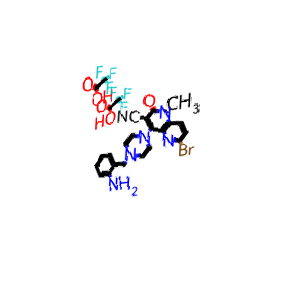 Cn1c(=O)c(C#N)c(N2CCN(Cc3ccccc3N)CC2)c2nc(Br)ccc21.O=C(O)C(F)(F)F.O=C(O)C(F)(F)F